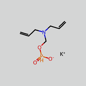 C=CCN(CC=C)CO[PH](=O)[O-].[K+]